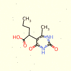 CCCC(C(=O)O)c1c(C)[nH]c(=O)[nH]c1=O